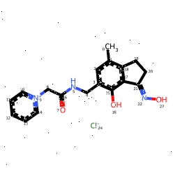 Cc1cc(CNC(=O)C[n+]2ccccc2)c(O)c2c1CCC2=NO.[Cl-]